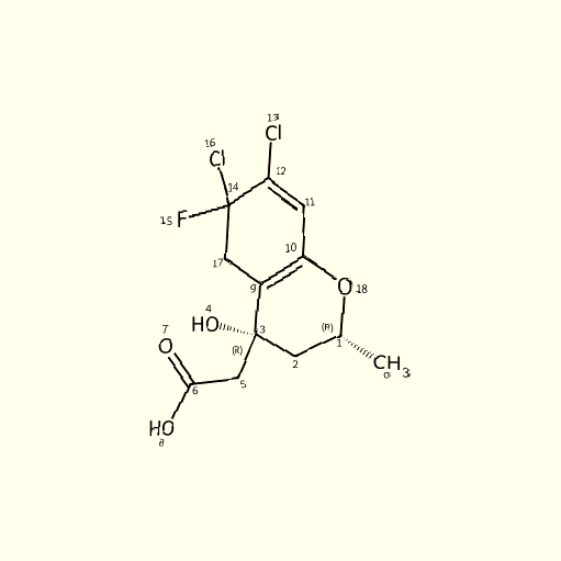 C[C@@H]1C[C@@](O)(CC(=O)O)C2=C(C=C(Cl)C(F)(Cl)C2)O1